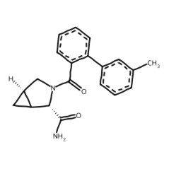 Cc1cccc(-c2ccccc2C(=O)N2C[C@@H]3CC3[C@H]2C(N)=O)c1